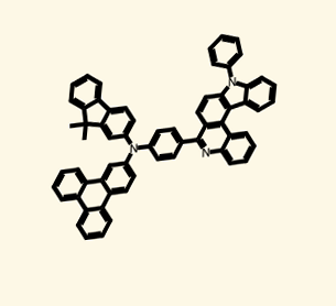 CC1(C)c2ccccc2-c2ccc(N(c3ccc(-c4nc5ccccc5c5c4ccc4c5c5ccccc5n4-c4ccccc4)cc3)c3ccc4c5ccccc5c5ccccc5c4c3)cc21